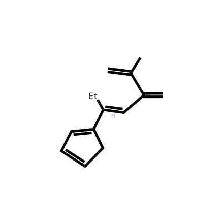 C=C(C)C(=C)/C=C(\CC)C1=CC=CC1